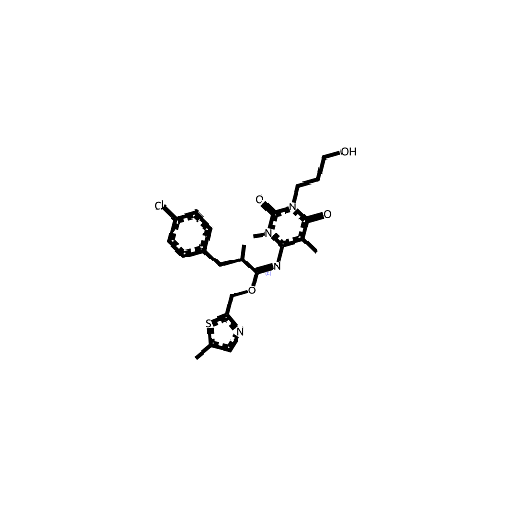 Cc1cnc(CO/C(=N/c2c(C)c(=O)n(CCCO)c(=O)n2C)C(C)Cc2ccc(Cl)cc2)s1